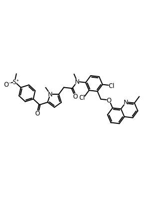 Cc1ccc2cccc(OCc3c(Cl)ccc(N(C)C(=O)Cc4ccc(C(=O)c5ccc([S+](C)[O-])cc5)n4C)c3Cl)c2n1